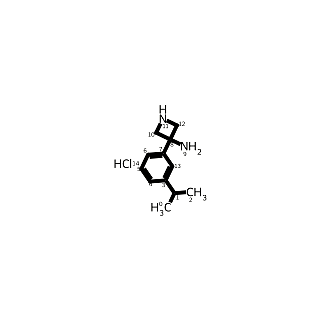 CC(C)c1cccc(C2(N)CNC2)c1.Cl